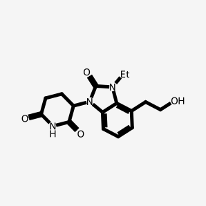 CCn1c(=O)n(C2CCC(=O)NC2=O)c2cccc(CCO)c21